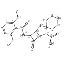 COc1cccc(OC)c1C(=O)NC1C(=O)N2C1SC1(CCNCC1)C2C(=O)O